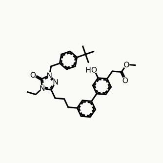 CCn1c(CCCc2cccc(-c3ccc(CC(=O)OC)c(O)c3)c2)nn(Cc2ccc(C(C)(C)C)cc2)c1=O